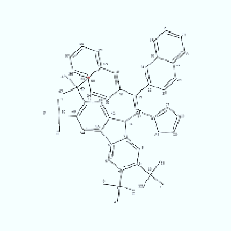 CC(C)(C)c1cc2c(cc1C(C)(C)C)[CH]([Zr]([C]1=CC=CC1)=[C](c1ccc3ccccc3c1)c1ccc3ccccc3c1)c1cc(C(C)(C)C)c(C(C)(C)C)cc1-2